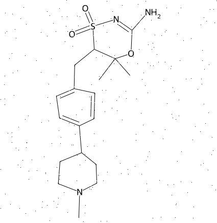 CN1CCC(c2ccc(CC3C(C)(C)OC(N)=NS3(=O)=O)cc2)CC1